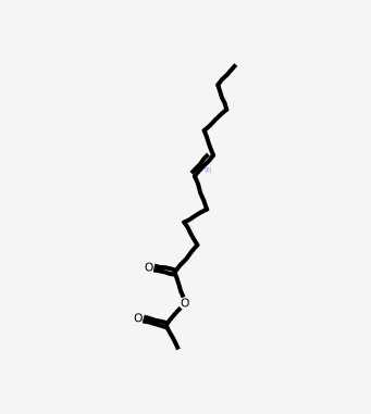 CCCC/C=C/CCCC(=O)OC(C)=O